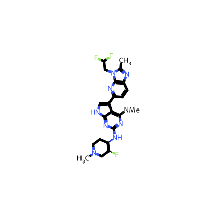 CNc1nc(N[C@@H]2CCN(C)C[C@@H]2F)nc2[nH]cc(-c3ccc4nc(C)n(CC(F)F)c4n3)c12